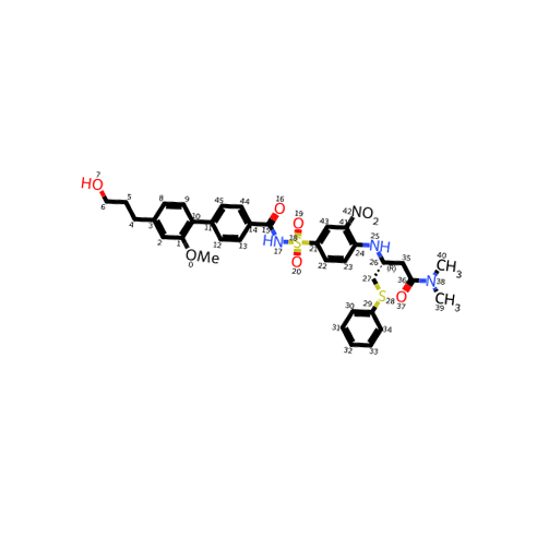 COc1cc(CCCO)ccc1-c1ccc(C(=O)NS(=O)(=O)c2ccc(N[C@@H](CSc3ccccc3)CC(=O)N(C)C)c([N+](=O)[O-])c2)cc1